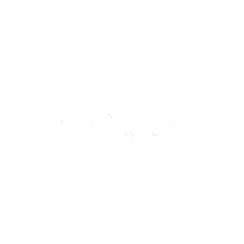 C[Si]1(C)CCC(NC(=O)c2cc3sc(C4CC4)nc3[nH]2)CC1